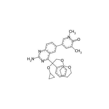 Cc1cc(-c2ccc3nc(N)nc(C(COC4CCCCO4)(OC4CC4)c4ccccc4)c3c2)cn(C)c1=O